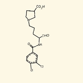 O=CC(CCCN1CCC(C(=O)O)C1)NC(=O)c1ccc(Cl)c(Cl)c1